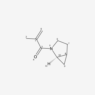 C=C(C)C(=O)N1CCC2C[C@H]21